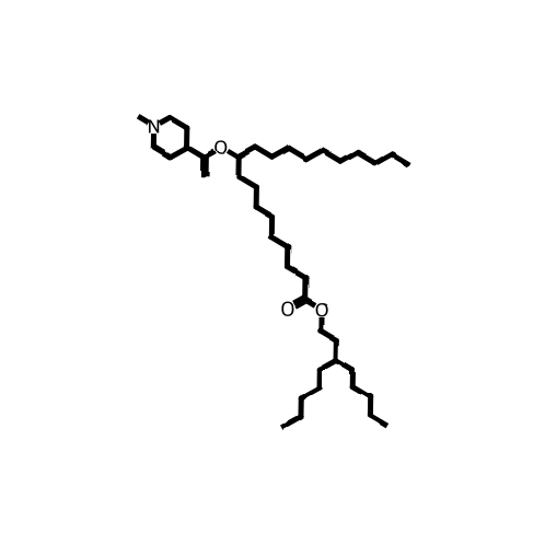 C=C(OC(CCCCCCCCCC)CCCCCCCCC(=O)OCCC(CCCCC)CCCCC)C1CCN(C)CC1